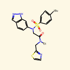 CCN(Cc1nccs1)C(=O)CN(c1ccc2cn[nH]c2c1)S(=O)(=O)c1ccc(C(C)(C)C)cc1